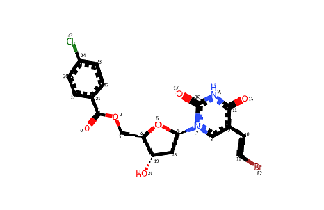 O=C(OC[C@H]1O[C@@H](n2cc(C=CBr)c(=O)[nH]c2=O)C[C@@H]1O)c1ccc(Cl)cc1